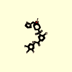 C[C@H]1CC2CC(S(=O)(=O)c3cc(C(=O)Nc4cc(F)c(F)c(F)c4)ccc3Cl)CC1[C@@]2(O)Cn1cccn1